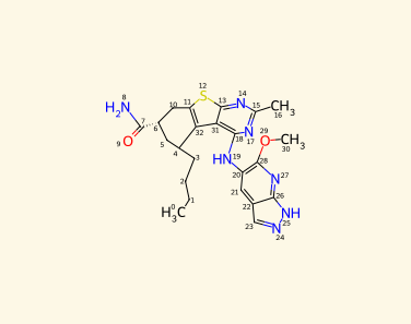 CCCCC1C[C@H](C(N)=O)Cc2sc3nc(C)nc(Nc4cc5cn[nH]c5nc4OC)c3c21